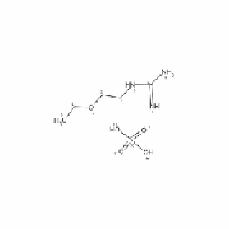 CCOCCNC(=N)N.O=S(=O)(O)O